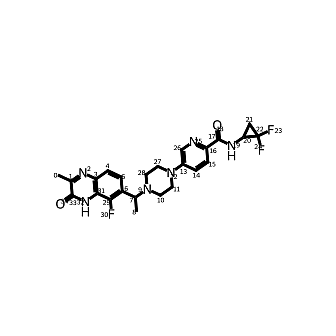 Cc1nc2ccc(C(C)N3CCN(c4ccc(C(=O)NC5CC5(F)F)nc4)CC3)c(F)c2[nH]c1=O